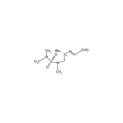 CN(C)S(=O)(=O)N(C)C[C@@H](N=CC=O)C(C)(C)C